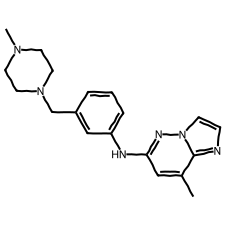 Cc1cc(Nc2cccc(CN3CCN(C)CC3)c2)nn2ccnc12